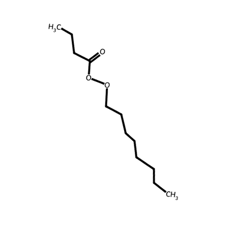 CCCCCCCCOOC(=O)CCC